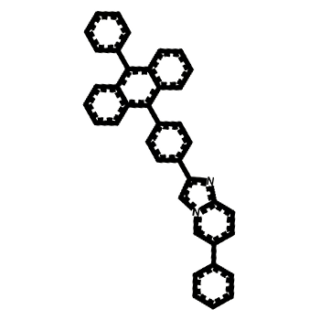 c1ccc(-c2ccc3nc(-c4ccc(-c5c6ccccc6c(-c6ccccc6)c6ccccc56)cc4)cn3c2)cc1